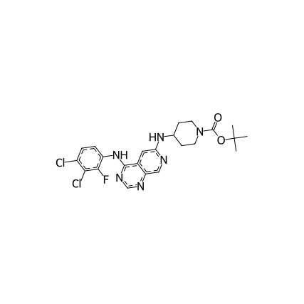 CC(C)(C)OC(=O)N1CCC(Nc2cc3c(Nc4ccc(Cl)c(Cl)c4F)ncnc3cn2)CC1